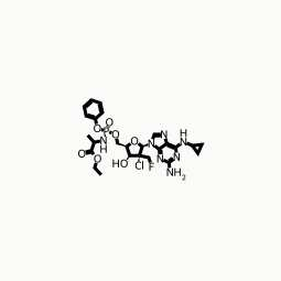 CCOC(=O)C(C)N[P@](=O)(OC[C@H]1O[C@@H](n2cnc3c(NC4CC4)nc(N)nc32)[C@@](Cl)(CF)[C@@H]1O)Oc1ccccc1